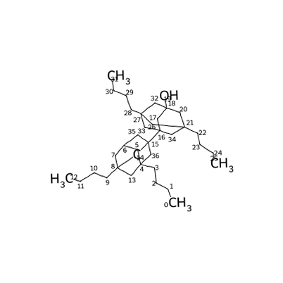 CCCCC12CC3CC(CCCC)(C1)CC(C14CC5(O)CC(CCCC)(CC(CCCC)(C5)C1)C4)(C3)C2